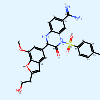 COc1cc(C(Nc2ccc(C(=N)N)cc2)C(=O)NS(=O)(=O)c2ccc(C)cc2)cc2cc(CCO)oc12